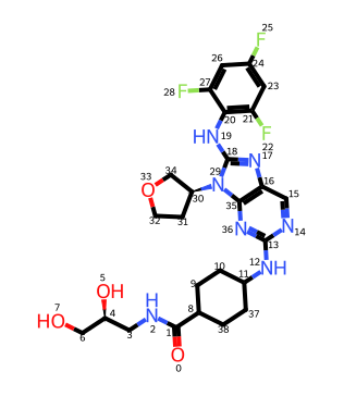 O=C(NC[C@H](O)CO)C1CCC(Nc2ncc3nc(Nc4c(F)cc(F)cc4F)n([C@H]4CCOC4)c3n2)CC1